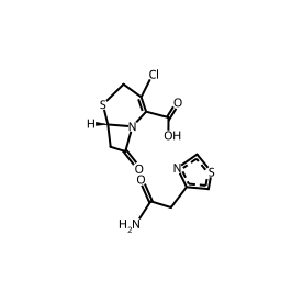 NC(=O)Cc1cscn1.O=C(O)C1=C(Cl)CS[C@H]2CC(=O)N12